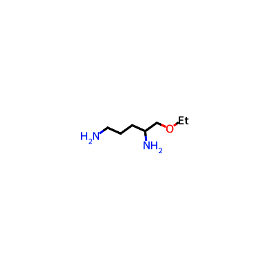 CCOCC(N)CCCN